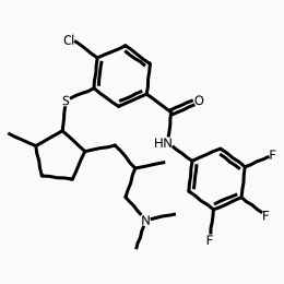 CC(CC1CCC(C)C1Sc1cc(C(=O)Nc2cc(F)c(F)c(F)c2)ccc1Cl)CN(C)C